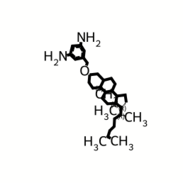 CC(C)CCC[C@@H](C)[C@H]1CCC2C3CCC4CC(OCc5cc(N)cc(N)c5)CC[C@]4(C)C3CC[C@@]21C